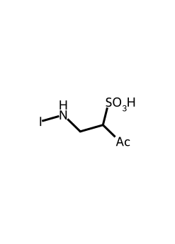 CC(=O)C(CNI)S(=O)(=O)O